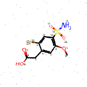 COc1cc(CC(=O)O)c(Br)cc1S(N)(=O)=O